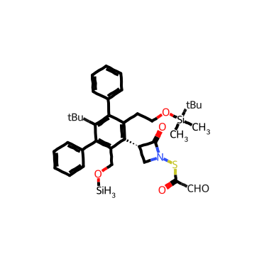 CC(C)(C)c1c(-c2ccccc2)c(CCO[Si](C)(C)C(C)(C)C)c([C@H]2CN(SC(=O)C=O)C2=O)c(CO[SiH3])c1-c1ccccc1